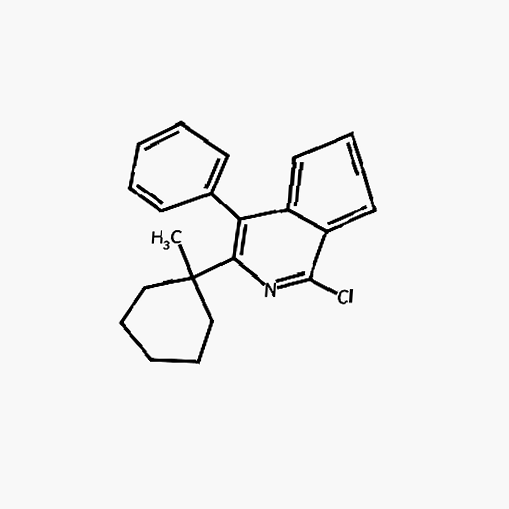 CC1(c2nc(Cl)c3ccccc3c2-c2ccccc2)CCCCC1